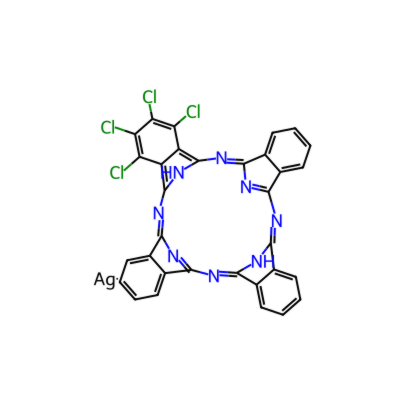 Clc1c(Cl)c(Cl)c2c3nc4nc(nc5[nH]c(nc6nc(nc([nH]3)c2c1Cl)-c1ccccc1-6)c1ccccc51)-c1ccccc1-4.[Ag]